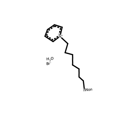 CCCCCCCCCCCCCCCC[n+]1ccccc1.O.[Br-]